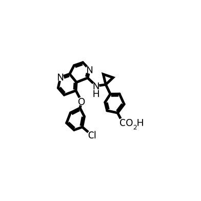 O=C(O)c1ccc(C2(Nc3nccc4nccc(Oc5cccc(Cl)c5)c34)CC2)cc1